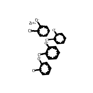 [O-]c1ccccc1Cl.[O-]c1ccccc1Cl.[O-]c1ccccc1Cl.[O-]c1ccccc1Cl.[Zr+4]